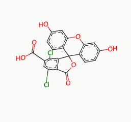 O=C(O)c1cc(Cl)c2c(c1Cl)C1(OC2=O)c2ccc(O)cc2Oc2cc(O)ccc21